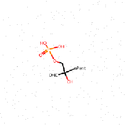 CCCCCC(O)(C=O)COP(=O)(O)O